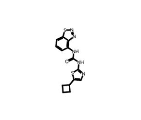 O=C(Nc1ncc(C2CCC2)s1)Nc1cccc2snnc12